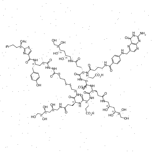 CC(=O)O[C@H](CCC(C)C)c1nc(C(=O)N[C@@H](Cc2ccc(O)cc2)C[C@H](C)C(=O)NNC(=O)OCCSSC[C@@H](NC(=O)[C@H](CCC(=O)NC[C@H](O)C[C@H](O)[C@H](O)CO)NC(=O)[C@@H](CCC(=O)O)NC(=O)[C@H](CCC(=O)NC[C@H](O)C[C@H](O)[C@H](O)CO)NC(=O)[C@@H](CCC(=O)O)NC(=O)[C@H](CCC(=O)NC[C@H](O)C[C@H](O)[C@H](O)CO)NC(=O)CCCNC(=O)c2ccc(NCc3cnc4nc(N)[nH]c(=O)c4n3)cc2)C(=O)O)cs1